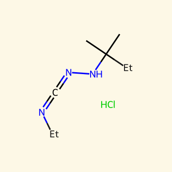 CCN=C=NNC(C)(C)CC.Cl